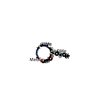 CO[C@H]1C[C@@H]2CC[C@@H](C)[C@@](O)(O2)C(=O)C(=O)N2CCCC[C@H]2C(=O)O[C@H]([C@H](N)C[C@@H]2CC[C@@H](OC(=O)N3CCc4nc(C)ncc4C3)[C@H](OC)C2)CC(=O)[C@H](C)/C=C(\C)[C@@H](O)[C@@H](OC)C(=O)[C@H](C)C[C@H](C)/C=C/C=C/C=C/1C